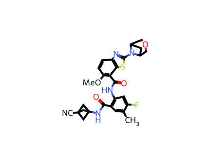 COc1ccc2nc(N3C4COCC3C4)sc2c1C(=O)Nc1cc(F)c(C)cc1C(=O)NC12CC(C#N)(C1)C2